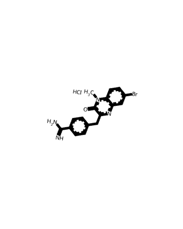 Cl.Cn1c(=O)c(Cc2ccc(C(=N)N)cc2)nc2cc(Br)ccc21